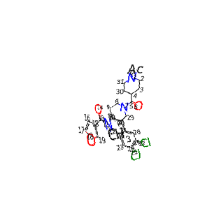 CC(=O)N1CCC(C(=O)N2CC[C@@H](N(C)C(=O)c3ccoc3)[C@H](c3ccc(Cl)c(Cl)c3)C2)CC1